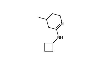 CC1CCN=C(NC2CCC2)C1